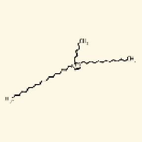 CCCCCCCCCCCCCCCCCC[n+]1ccn(CCCCCCCCCCCCC)c1CCCCCC